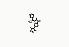 Cc1noc(C)c1-c1cnc2[nH]c(C)c(C(O)c3cccnc3)c2c1